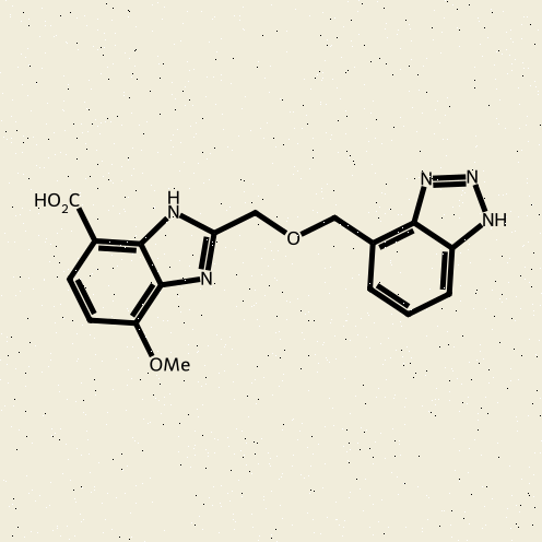 COc1ccc(C(=O)O)c2[nH]c(COCc3cccc4[nH]nnc34)nc12